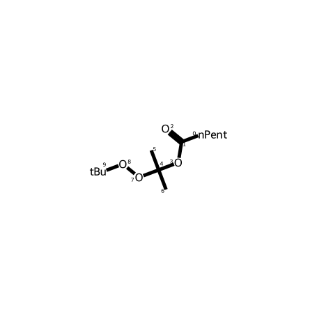 CCCCCC(=O)OC(C)(C)OOC(C)(C)C